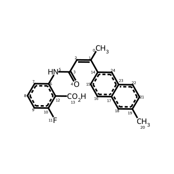 C/C(=C/C(=O)Nc1cccc(F)c1C(=O)O)c1ccc2cc(C)ccc2c1